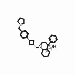 O[C@@]1(c2ccccc2)CCN(C[C@H]2C[C@H](c3ccc(CN4CCCC4)cc3)C2)C2CCCC[C@@H]21